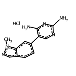 Cl.Cn1ncc2ccc(-c3cnc(N)nc3N)cc21